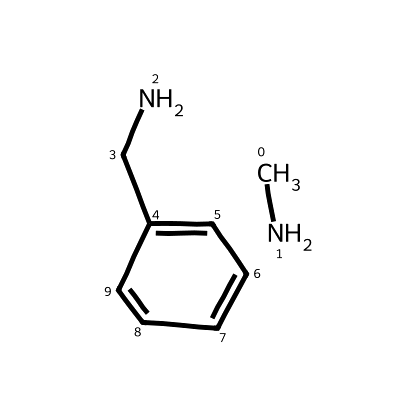 CN.NCc1ccccc1